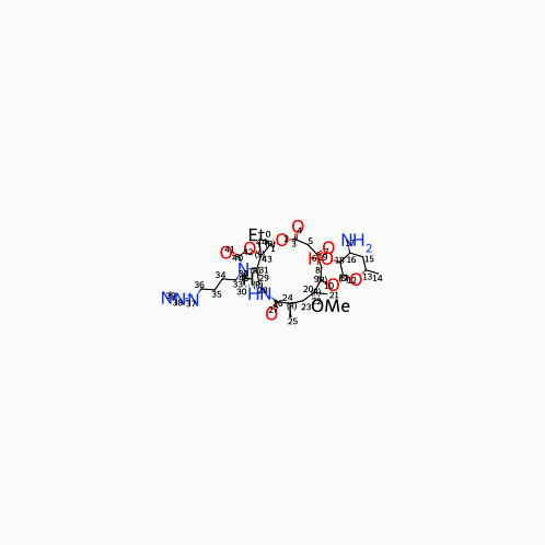 CC[C@H]1OC(=O)CC(=O)C[C@@H](O[C@@H]2OC(C)CC(N)C2O)[C@](C)(OC)C[C@@H](C)C(=O)N[C@H](C)[C@H]2N(CCCCN=[N+]=[N-])C(=O)O[C@]12C